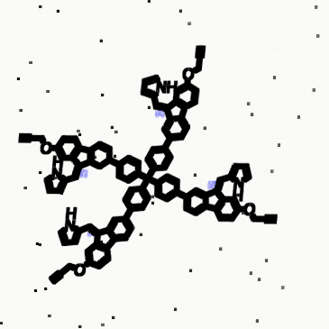 C#CCOc1ccc2c(c1)/C(=C\c1ccc[nH]1)c1cc(-c3ccc(C(c4ccc(-c5ccc6c(c5)/C(=C/c5ccc[nH]5)c5cc(OCC#C)ccc5-6)cc4)(c4ccc(-c5ccc6c(c5)/C(=C/c5ccc[nH]5)c5cc(OCC#C)ccc5-6)cc4)c4ccc(C5C=CC6=C(C5)/C(=C/c5ccc[nH]5)c5cc(OCC#C)ccc56)cc4)cc3)ccc1-2